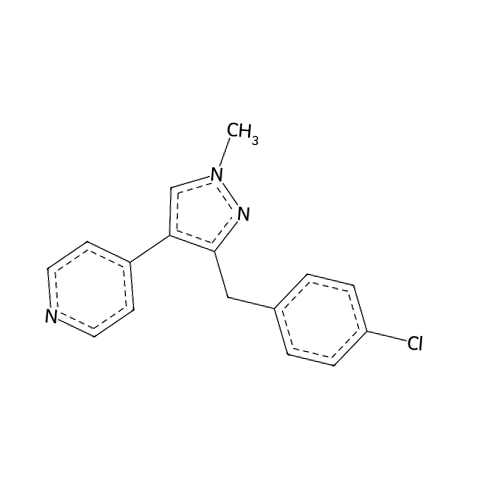 Cn1cc(-c2ccncc2)c(Cc2ccc(Cl)cc2)n1